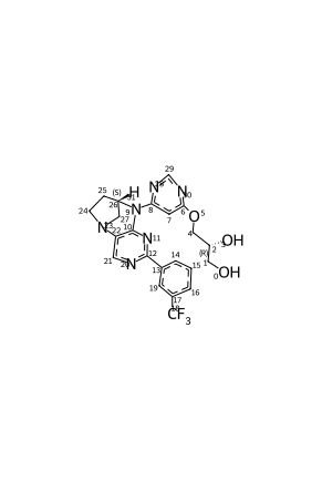 OC[C@@H](O)COc1cc(N2c3nc(-c4cccc(C(F)(F)F)c4)ncc3N3CC[C@H]2C3)ncn1